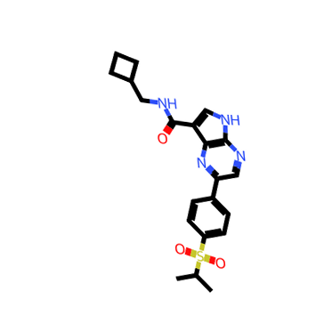 CC(C)S(=O)(=O)c1ccc(-c2cnc3[nH]cc(C(=O)NCC4CCC4)c3n2)cc1